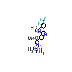 CO[C@@]1(c2ccc3nccc(N[C@H](C)c4cccc(C(F)F)c4F)c3c2)CCN(C(=O)N(C)C)C1